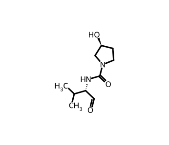 CC(C)[C@@H](C=O)NC(=O)N1CC[C@H](O)C1